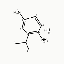 CC(C)c1cc(N)ccc1N.Cl